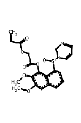 CCC(=O)OCC(=O)Oc1c(OC)c(OC)cc2cccc([S+]([O-])N3C=CC=NC3)c12